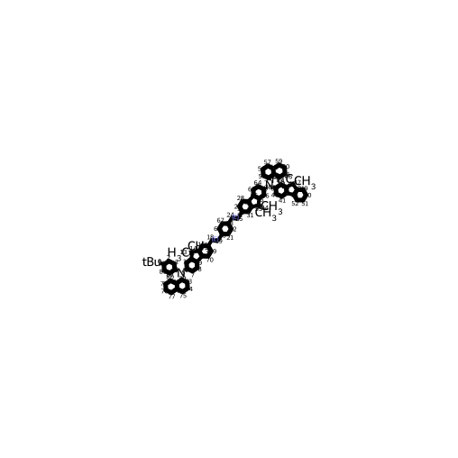 CC(C)(C)c1ccc(N(c2ccc3c(c2)C(C)(C)c2cc(/C=C/c4ccc(/C=C/c5ccc6c(c5)C(C)(C)c5cc(N(c7ccc8c(c7)C(C)(C)c7ccccc7-8)c7cccc8ccccc78)ccc5-6)cc4)ccc2-3)c2cccc3ccccc23)cc1